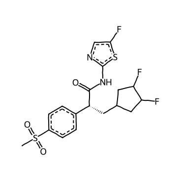 CS(=O)(=O)c1ccc([C@@H](CC2CC(F)C(F)C2)C(=O)Nc2ncc(F)s2)cc1